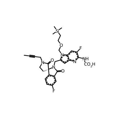 CC#CCN1CC[C@@]2(C1=O)c1ccc(F)cc1C(=O)N2Cc1cc2nc(NC(=O)O)c(F)cc2n1COCC[Si](C)(C)C